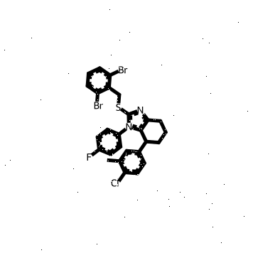 Cc1cc(C2CCCc3nc(SCc4c(Br)cccc4Br)n(-c4ccc(F)cc4)c32)ccc1Cl